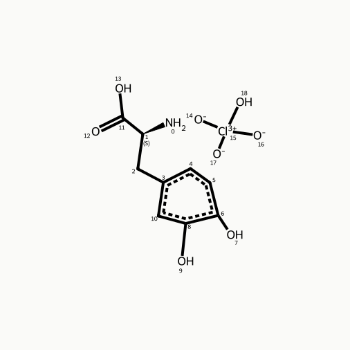 N[C@@H](Cc1ccc(O)c(O)c1)C(=O)O.[O-][Cl+3]([O-])([O-])O